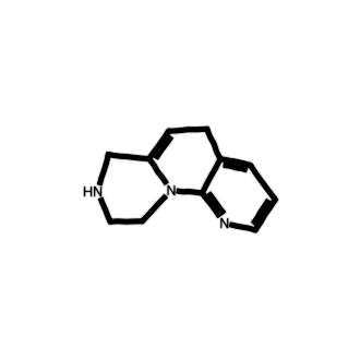 C1=C2CNCCN2c2ncccc2C1